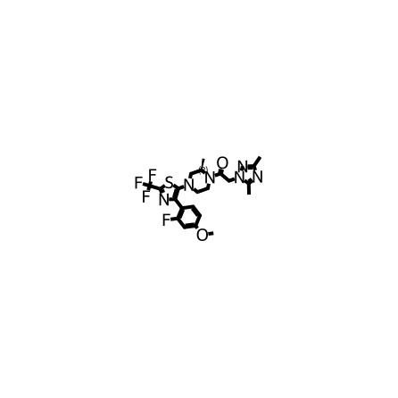 COc1ccc(-c2nc(C(F)(F)F)sc2N2CCN(C(=O)Cn3nc(C)nc3C)[C@H](C)C2)c(F)c1